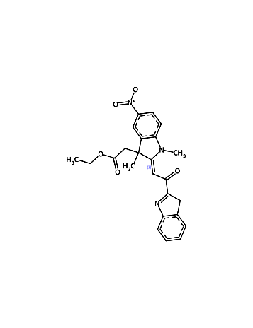 CCOC(=O)CC1(C)/C(=C/C(=O)C2=Nc3ccccc3C2)N(C)c2ccc([N+](=O)[O-])cc21